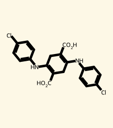 O=C(O)C1=C(Nc2ccc(Cl)cc2)CC(C(=O)O)=C(Nc2ccc(Cl)cc2)C1